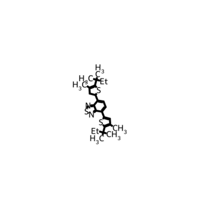 CCC(C)(C)C1=C(C)CC(c2ccc(-c3cc(C)c(C(C)(C)CC)s3)c3nsnc23)S1